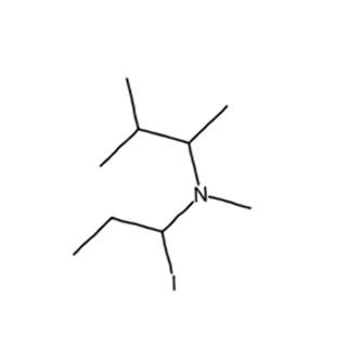 CCC(I)N(C)C(C)C(C)C